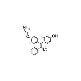 CCC(=C(c1ccc(OCCN)cc1)c1ccc(O)cc1F)c1ccccc1